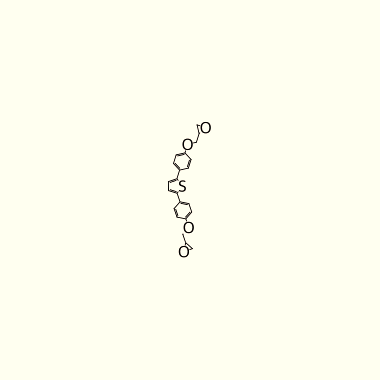 c1cc(-c2ccc(-c3ccc(OCC4CO4)cc3)s2)ccc1OCC1CO1